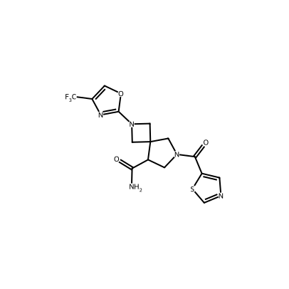 NC(=O)C1CN(C(=O)c2cncs2)CC12CN(c1nc(C(F)(F)F)co1)C2